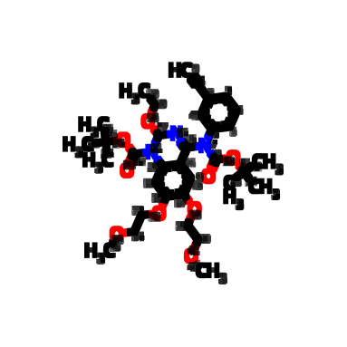 C#Cc1cccc(N(C(=O)OC(C)(C)C)C2=NC(OCC)N(C(=O)OC(C)(C)C)c3cc(OCCOC)c(OCCOC)cc32)c1